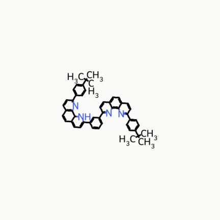 CC(C)(C)c1ccc(-c2ccc3c(n2)C2NC(c4cccc(-c5ccc6ccc7ccc(-c8ccc(C(C)(C)C)cc8)nc7c6n5)c4)=CC=C2C=C3)cc1